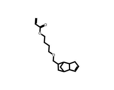 C=CC(=O)OCCCCOCC1CC2CC1C1CC=CC21